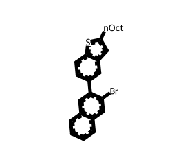 CCCCCCCCc1cc2cc(-c3cc4ccccc4cc3Br)ccc2s1